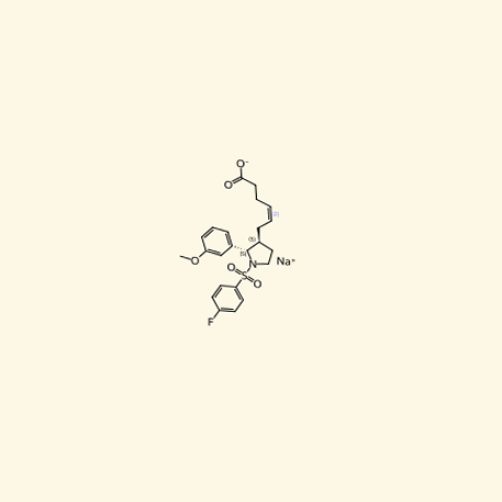 COc1cccc([C@@H]2[C@@H](C/C=C\CCC(=O)[O-])CCN2S(=O)(=O)c2ccc(F)cc2)c1.[Na+]